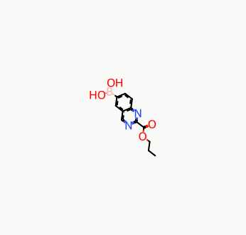 CCCOC(=O)c1ncc2cc(B(O)O)ccc2n1